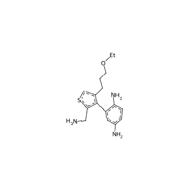 CCOCCCc1csc(CN)c1-c1cc(N)ccc1N